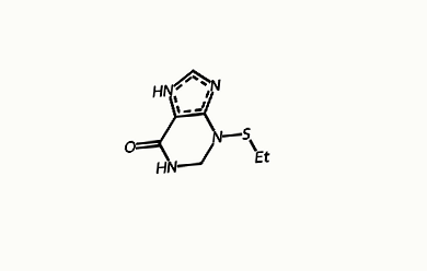 CCSN1CNC(=O)c2[nH]cnc21